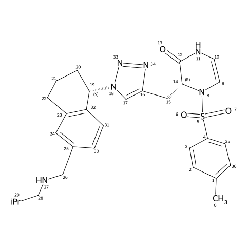 Cc1ccc(S(=O)(=O)N2C=CNC(=O)[C@H]2Cc2cn([C@H]3CCCc4cc(CNCC(C)C)ccc43)nn2)cc1